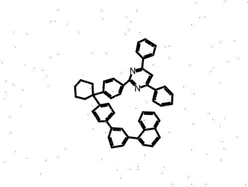 c1ccc(-c2cc(-c3ccccc3)nc(-c3ccc(C4(c5ccc(-c6cccc(-c7cccc8ccccc78)c6)cc5)CCCCC4)cc3)n2)cc1